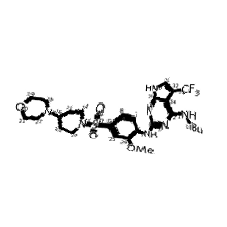 CCC(C)Nc1nc(Nc2ccc(S(=O)(=O)N3CCC(N4CCOCC4)CC3)cc2OC)nc2[nH]cc(C(F)(F)F)c12